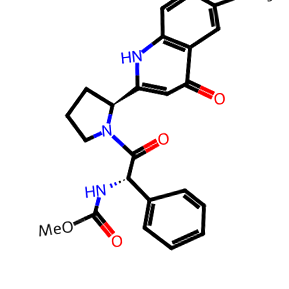 COC(=O)N[C@H](C(=O)N1CCC[C@H]1c1cc(=O)c2cc(C)ccc2[nH]1)c1ccccc1